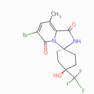 Cc1cc(Br)c(=O)n2c1C(=O)N[C@]21CC[C@@](O)(C(F)(F)F)CC1